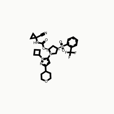 N#CC1(NC(=O)O[C@H]2C[C@@H](S(=O)(=O)c3ccccc3C(F)(F)F)CN2c2cc(C3CCOCC3)nn2C2CCC2)CC1